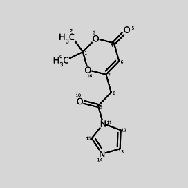 CC1(C)OC(=O)C=C(CC(=O)n2ccnc2)O1